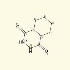 O=C1NNC(=O)C2CCCCC12